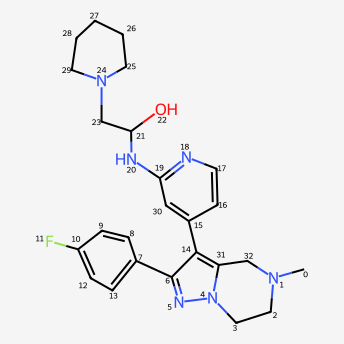 CN1CCn2nc(-c3ccc(F)cc3)c(-c3ccnc(NC(O)CN4CCCCC4)c3)c2C1